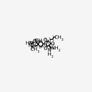 CCCCN1C(=O)C(=C(N)N)C(=O)N(C2CCC(CO)(Cn3c(C)n[nH]c3=O)CC2)C1=O